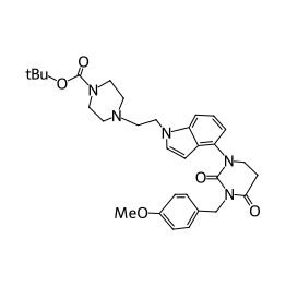 COc1ccc(CN2C(=O)CCN(c3cccc4c3ccn4CCN3CCN(C(=O)OC(C)(C)C)CC3)C2=O)cc1